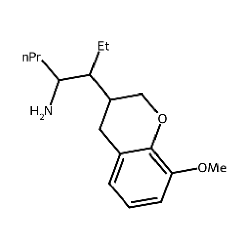 CCCC(N)C(CC)C1COc2c(cccc2OC)C1